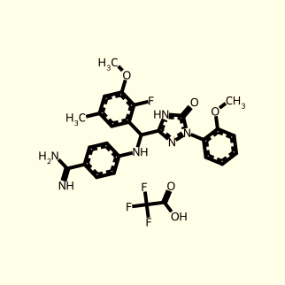 COc1ccccc1-n1nc(C(Nc2ccc(C(=N)N)cc2)c2cc(C)cc(OC)c2F)[nH]c1=O.O=C(O)C(F)(F)F